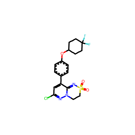 O=S1(=O)CCN2N=C(Cl)C=C(c3ccc(OC4CCC(F)(F)CC4)cc3)C2=N1